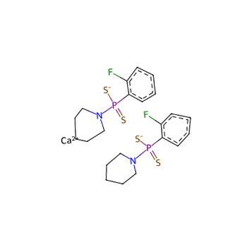 Fc1ccccc1P(=S)([S-])N1CCCCC1.Fc1ccccc1P(=S)([S-])N1CCCCC1.[Ca+2]